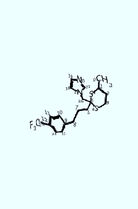 CC1CCSC(CCCc2ccc(C(F)(F)F)cc2)(Cn2ccnc2)S1